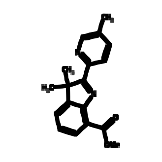 COC(=O)c1cccc2c1N=C(c1ccc(C)cn1)C2(C)C